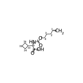 C=CCCCOC(=O)NC(C(=O)O)C1CCC1